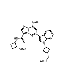 CNc1cc(-c2cn([C@H]3C[C@@H](COC)C3)c3ncccc23)nc2c(C(=O)N[C@@H]3CC[C@H]3OC)cnn12